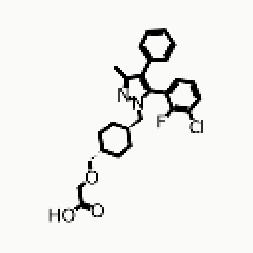 Cc1nn(C[C@H]2CC[C@H](COCC(=O)O)CC2)c(-c2cccc(Cl)c2F)c1-c1ccccc1